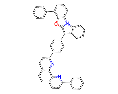 c1ccc(-c2ccc3ccc4ccc(-c5ccc(-c6c7ccccc7n7c6oc6c(-c8ccccc8)cccc67)cc5)nc4c3n2)cc1